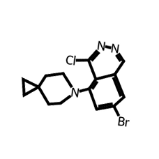 Clc1nncc2cc(Br)cc(N3CCC4(CC3)CC4)c12